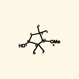 CON1C(C)(C)CC(O)C1(C)C